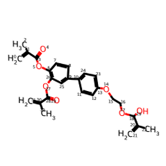 C=C(C)C(=O)Oc1ccc(-c2ccc(OCCOC(O)C(=C)C)cc2)cc1OC(=O)C(=C)C